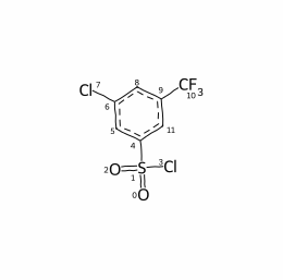 O=S(=O)(Cl)c1cc(Cl)cc(C(F)(F)F)c1